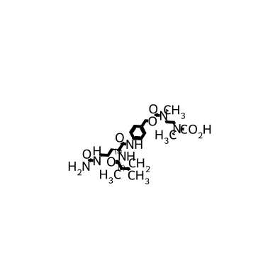 C=C(C)[C@H](C)C(=O)N[C@@H](CCCNC(N)=O)C(=O)Nc1ccc(COC(=O)N(C)CCN(C)C(=O)O)cc1